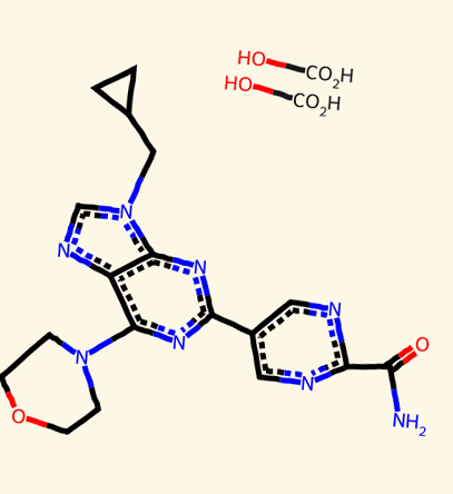 NC(=O)c1ncc(-c2nc(N3CCOCC3)c3ncn(CC4CC4)c3n2)cn1.O=C(O)O.O=C(O)O